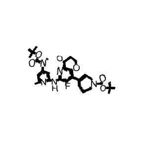 Cc1cc(N(C)C(=O)OC(C)(C)C)cc(Nc2nc3c(c(C4=CCN(C(=O)OC(C)(C)C)CCC4)c2F)OCCC3=O)n1